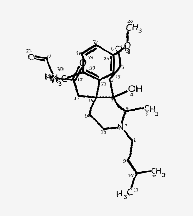 CCCC1(O)C(C)N(CCC(C)C)CCC1(CC(=O)NC=O)c1cc(OC)ccc1C